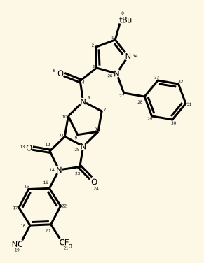 CC(C)(C)c1cc(C(=O)N2CC3CC2C2C(=O)N(c4ccc(C#N)c(C(F)(F)F)c4)C(=O)N32)n(Cc2ccccc2)n1